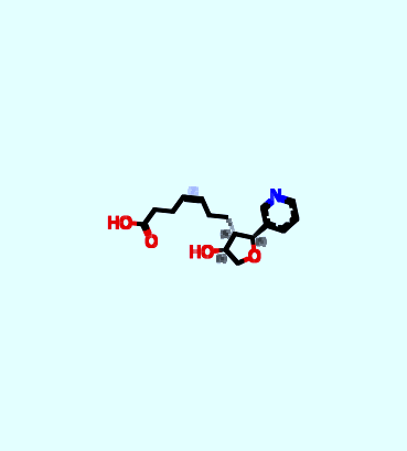 O=C(O)CC/C=C\CC[C@H]1[C@H](O)CO[C@@H]1c1cccnc1